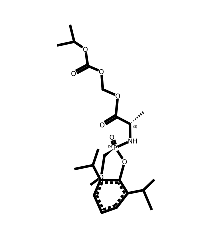 COC[P@@](=O)(N[C@@H](C)C(=O)OCOC(=O)OC(C)C)Oc1c(C(C)C)cccc1C(C)C